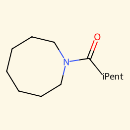 CCCC(C)C(=O)N1CCCCCCC1